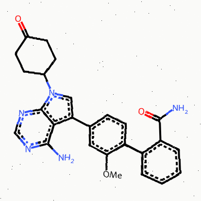 COc1cc(-c2cn(C3CCC(=O)CC3)c3ncnc(N)c23)ccc1-c1ccccc1C(N)=O